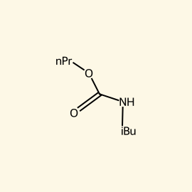 CCCOC(=O)NC(C)CC